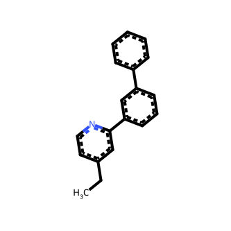 CCc1ccnc(-c2cccc(-c3ccccc3)c2)c1